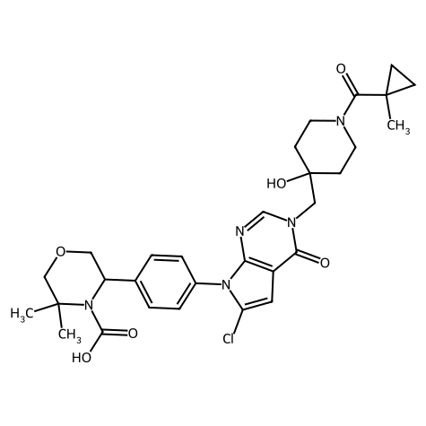 CC1(C(=O)N2CCC(O)(Cn3cnc4c(cc(Cl)n4-c4ccc(C5COCC(C)(C)N5C(=O)O)cc4)c3=O)CC2)CC1